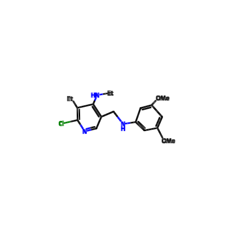 CCNc1c(CNc2cc(OC)cc(OC)c2)cnc(Cl)c1CC